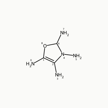 NC1=C(N)N(N)C(N)O1